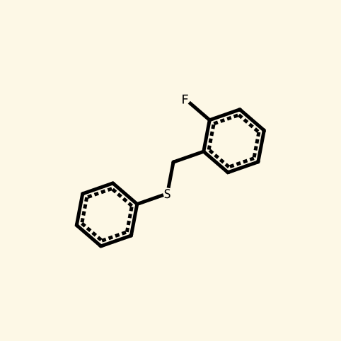 Fc1ccccc1CSc1ccccc1